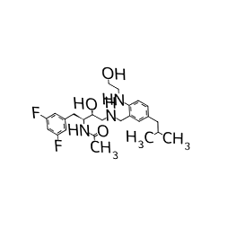 CC(=O)N[C@@H](Cc1cc(F)cc(F)c1)[C@@H](O)CNCc1cc(CC(C)C)ccc1NCCO